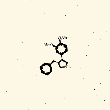 COc1ccc([C@H]2CNC[C@H]2Cc2ccccc2)cc1OC